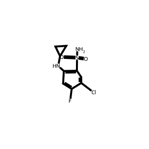 NS(=O)(=O)c1cc(Cl)c(F)cc1NC1CC1